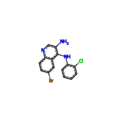 Nc1cnc2ccc(Br)cc2c1Nc1ccccc1Cl